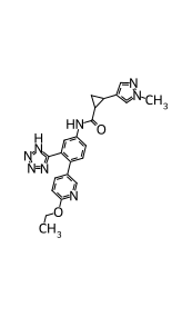 CCOc1ccc(-c2ccc(NC(=O)C3CC3c3cnn(C)c3)cc2-c2nnn[nH]2)cn1